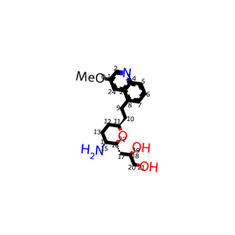 COc1cnc2cccc(CC[C@@H]3CC[C@@H](N)[C@@H](CC(O)CO)O3)c2c1